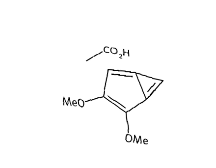 CC(=O)O.COc1cc2cc-2c1OC